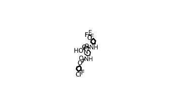 O=C(COc1ccc(Cl)c(F)c1)N[C@H]1CC[C@H](C(=O)Nc2cccc(OC(F)(F)F)c2)N(C(=O)O)C1